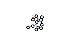 c1ccc(-c2ccc(N(c3ccc4c(c3)c3c(-c5ccccc5)cc5ccccc5c3n4-c3cccc4oc5ccccc5c34)c3cc4ccccc4c4ccccc34)cc2)cc1